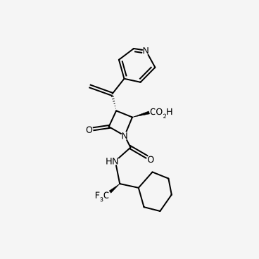 C=C(c1ccncc1)[C@H]1C(=O)N(C(=O)N[C@@H](C2CCCCC2)C(F)(F)F)[C@@H]1C(=O)O